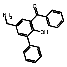 NCc1cc(C(=O)c2ccccc2)c(O)c(-c2ccccc2)c1